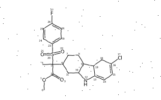 COC(=O)C(C)(C1CCC2C(C1)NC1=CC=C(Cl)CC12)S(=O)(=O)c1ccc(F)cc1